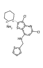 N[C@@H]1CCCC[C@@H]1c1sc2c(NCc3cccs3)cc(Cl)nc2c1Cl